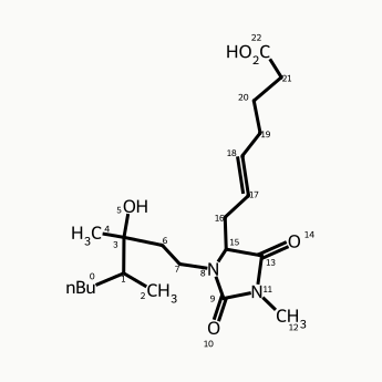 CCCCC(C)C(C)(O)CCN1C(=O)N(C)C(=O)C1C/C=C/CCCC(=O)O